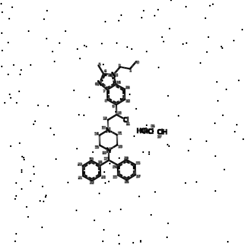 CCCn1c(C)nc2cc(C(Cl)CN3CCN(C(c4ccccc4)c4ccccc4)CC3)ccc21.Cl.Cl.Cl